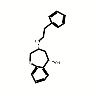 O[C@H]1C[C@@H](NCCc2ccccc2)COc2ccccc21